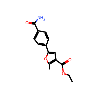 CCOC(=O)c1cc(-c2ccc(C(N)=O)cc2)oc1C